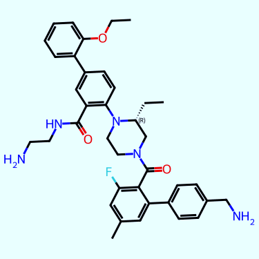 CCOc1ccccc1-c1ccc(N2CCN(C(=O)c3c(F)cc(C)cc3-c3ccc(CN)cc3)C[C@H]2CC)c(C(=O)NCCN)c1